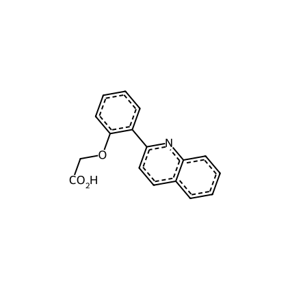 O=C(O)COc1ccccc1-c1ccc2ccccc2n1